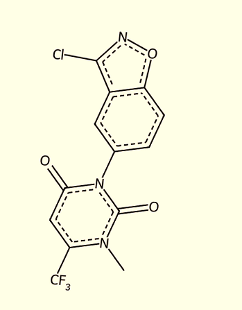 Cn1c(C(F)(F)F)cc(=O)n(-c2ccc3onc(Cl)c3c2)c1=O